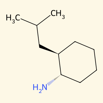 CC(C)C[C@H]1CCCC[C@@H]1N